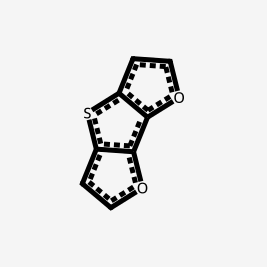 c1cc2sc3ccoc3c2o1